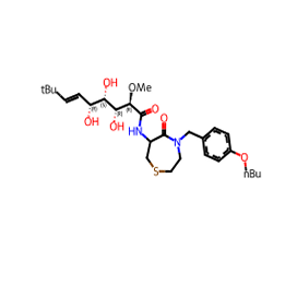 CCCCOc1ccc(CN2CCSCC(NC(=O)[C@H](OC)[C@H](O)[C@@H](O)[C@H](O)C=CC(C)(C)C)C2=O)cc1